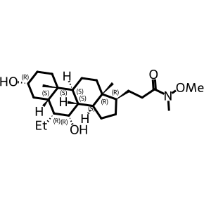 CC[C@H]1[C@@H](O)[C@@H]2[C@H](CC[C@]3(C)[C@@H](CCC(=O)N(C)OC)CC[C@@H]23)[C@@]2(C)CC[C@@H](O)C[C@@H]12